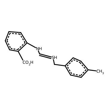 Cc1ccc(C[SH]=CNc2ccccc2C(=O)O)cc1